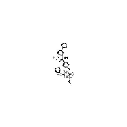 CCCNC(=O)[C@H](Cc1ccc(C(=O)Nc2cc(-c3ccsc3)ccc2N)cc1)N(Cc1ccccc1)C(=O)O